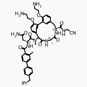 Cc1cc(-c2ccc(CC(C)C)cc2)ccc1C(=O)N[C@@H](CC(N)=O)C(=O)N(C)[C@@H]1C(=O)N[C@@H](C)C(=O)N[C@H](C(=O)NCC#N)Cc2ccc(OCCN)c(c2)-c2cc1ccc2OCCN